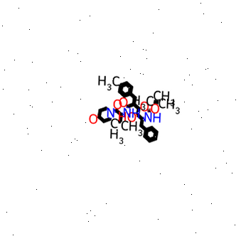 Cc1ccc(CC(CC(O)C(Cc2ccccc2)NC(=O)OC(C)(C)C)C(=O)NC(C(=O)N2CCC(=O)CC2)C(C)C)cc1